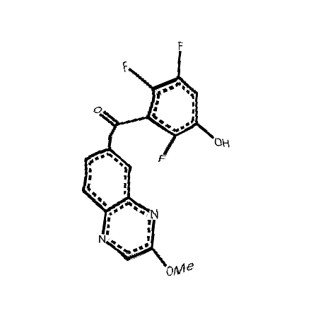 COc1cnc2ccc(C(=O)c3c(F)c(O)cc(F)c3F)cc2n1